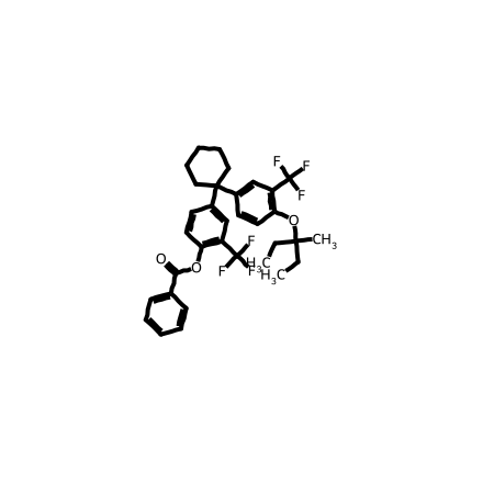 CCC(C)(CC)Oc1ccc(C2(c3ccc(OC(=O)c4ccccc4)c(C(F)(F)F)c3)CCCCC2)cc1C(F)(F)F